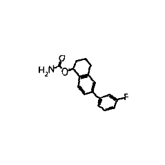 NC(=O)OC1CCCc2cc(-c3cccc(F)c3)ccc21